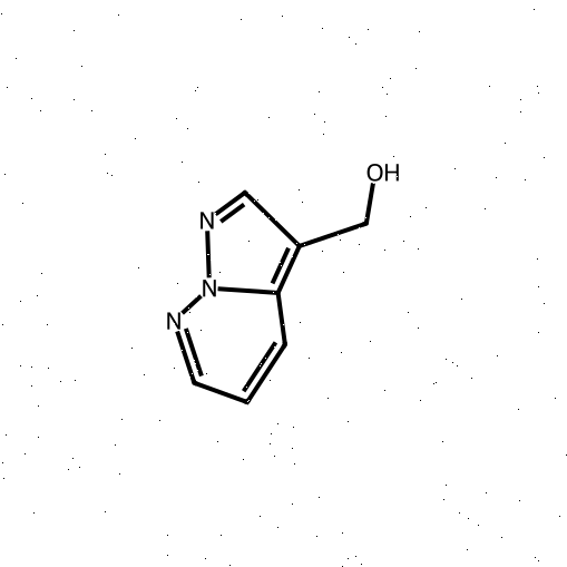 OCc1cnn2ncccc12